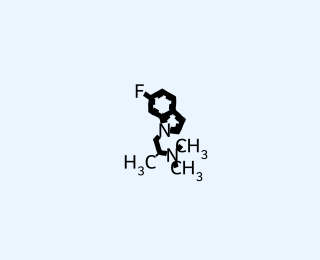 C[C@H](Cn1ccc2ccc(F)cc21)N(C)C